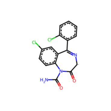 NC(=O)N1C(=O)[CH]N=C(c2ccccc2Cl)c2cc(Cl)ccc21